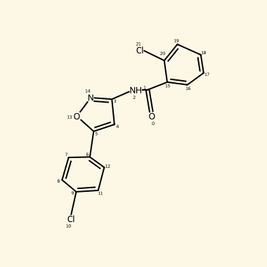 O=C(Nc1cc(-c2ccc(Cl)cc2)on1)c1ccccc1Cl